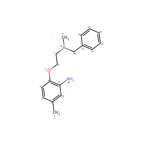 Cc1ccc(OCCN(C)Cc2ccccc2)c(N)c1